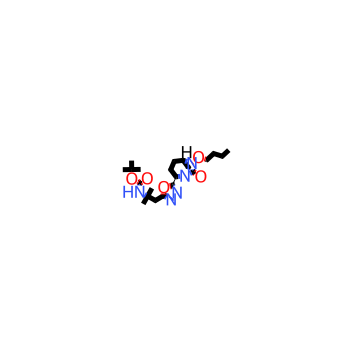 CCCCON1C(=O)N2C[C@@H]1CC[C@H]2c1nnc(CC(C)(C)NC(=O)OC(C)(C)C)o1